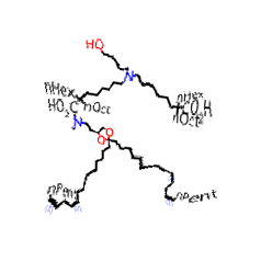 CCCCC/C=C\C/C=C\CCCCCCCCC1(CCCCCCCC/C=C\C/C=C\CCCCC)OCC(CCN(C)C)O1.CCCCCCCCC(CCCCCC)(CCCCCCN(CCCCO)CCCCCCC(CCCCCC)(CCCCCCCC)C(=O)O)C(=O)O